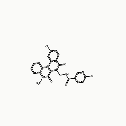 Cn1c(=O)c2c(CNC(=O)c3ccc(Cl)nc3)c(=O)c3ccc(Cl)cc3n2c2ccccc21